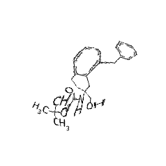 CC(C)(C)OC(=O)NC1(CO)CCc2cccc(Cc3ccccc3)c2C1